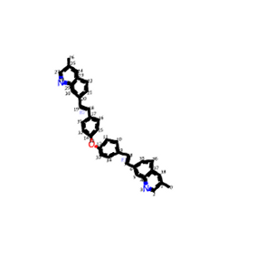 Cc1cnc2cc(/C=C/c3ccc(Oc4ccc(/C=C/c5ccc6cc(C)cnc6c5)cc4)cc3)ccc2c1